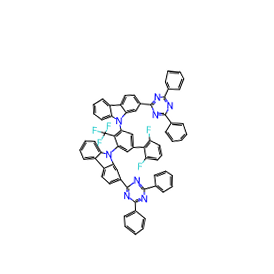 Fc1cccc(F)c1-c1cc(-n2c3ccccc3c3ccc(-c4nc(-c5ccccc5)nc(-c5ccccc5)n4)cc32)c(C(F)(F)F)c(-n2c3ccccc3c3ccc(-c4nc(-c5ccccc5)nc(-c5ccccc5)n4)cc32)c1